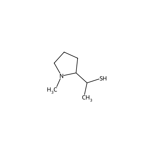 CC(S)C1CCCN1C